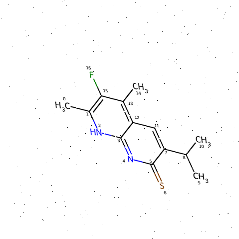 Cc1[nH]c2nc(=S)c(C(C)C)cc-2c(C)c1F